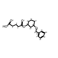 O=C(O)CCCC(=O)OC1CCCC(OCc2ccccc2)C1